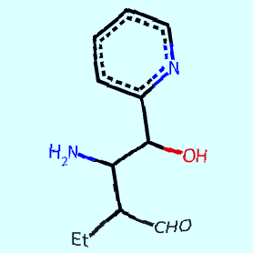 CCC(C=O)C(N)C(O)c1ccccn1